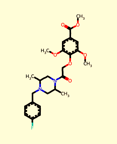 COC(=O)c1cc(OC)c(OCC(=O)N2CC(C)N(Cc3ccc(F)cc3)CC2C)c(OC)c1